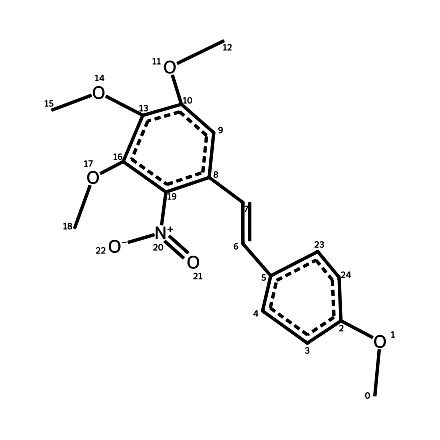 COc1ccc(C=Cc2cc(OC)c(OC)c(OC)c2[N+](=O)[O-])cc1